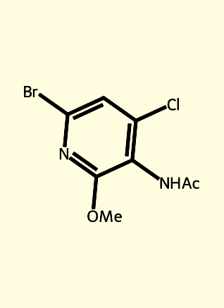 COc1nc(Br)cc(Cl)c1NC(C)=O